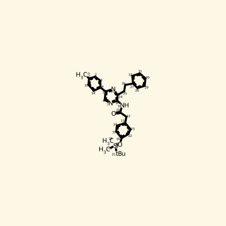 Cc1ccc(-c2cnc(NC(=O)Cc3ccc(O[Si](C)(C)C(C)(C)C)cc3)c(CCc3ccccc3)n2)cc1